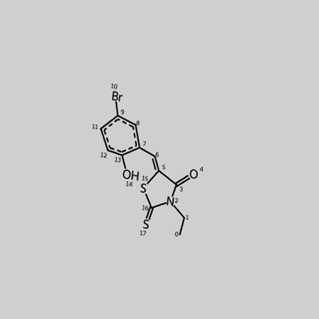 CCN1C(=O)C(=Cc2cc(Br)ccc2O)SC1=S